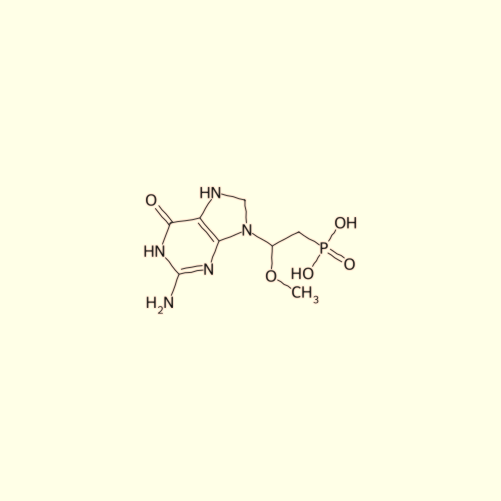 COC(CP(=O)(O)O)N1CNc2c1nc(N)[nH]c2=O